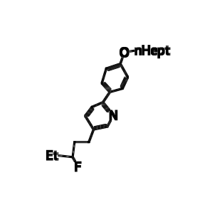 CCCCCCCOc1ccc(-c2ccc(CCC(F)CC)cn2)cc1